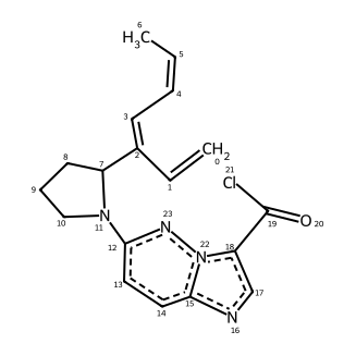 C=C/C(=C\C=C/C)C1CCCN1c1ccc2ncc(C(=O)Cl)n2n1